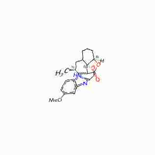 COc1ccc2[nH]c(CO[C@]34C5=C[C@@H](C)CC3CC[C@H]4OC5=O)nc2c1